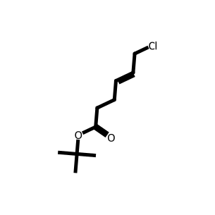 CC(C)(C)OC(=O)CCC=CCCl